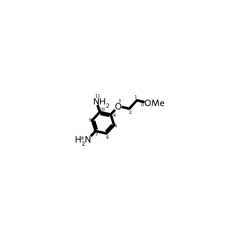 COCCOc1ccc(N)cc1N